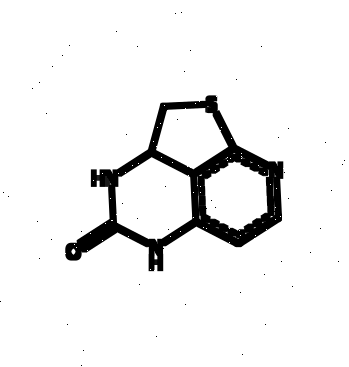 O=C1Nc2ccnc3c2C(CS3)N1